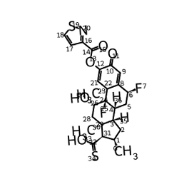 C[C@@H]1C[C@H]2[C@H]3C[C@H](F)C4=CC(=O)C(OC(=O)c5ccsn5)=C[C@]4(C)[C@@]3(F)[C@@H](O)C[C@]2(C)[C@@H]1C(O)=S